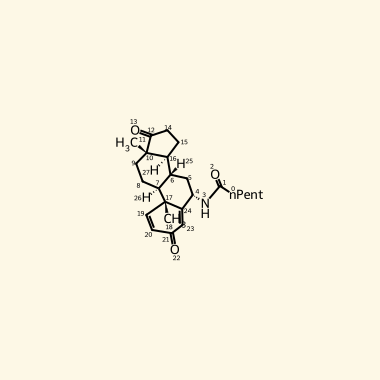 CCCCCC(=O)N[C@H]1C[C@@H]2[C@H](CC[C@]3(C)C(=O)CC[C@@H]23)[C@@]2(C)C=CC(=O)C=C12